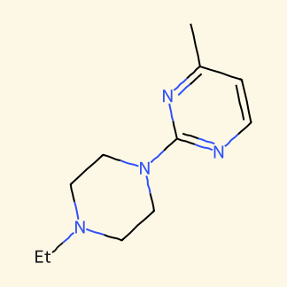 CCN1CCN(c2nccc(C)n2)CC1